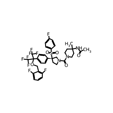 CC(=O)NC1(C)CCN(C(=O)N2CC[C@](c3ccc(C(OCc4c(F)cccc4F)(C(F)(F)F)C(F)(F)F)cc3)(S(=O)(=O)c3ccc(F)cc3)C2)CC1